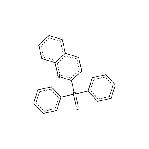 O=P(c1ccccc1)(c1ccccc1)c1ccc2ccccc2n1